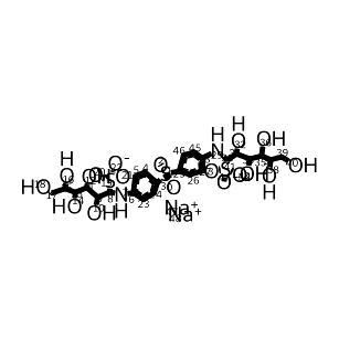 O=S(=O)(c1ccc(NC(C(O)C(O)C(O)C(O)CO)S(=O)(=O)[O-])cc1)c1ccc(NC(C(O)C(O)C(O)C(O)CO)S(=O)(=O)[O-])cc1.[Na+].[Na+]